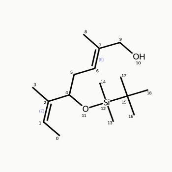 C/C=C(/C)C(C/C=C(\C)CO)O[Si](C)(C)C(C)(C)C